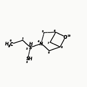 CC[SH](S)N1CC2CC(C1)O2